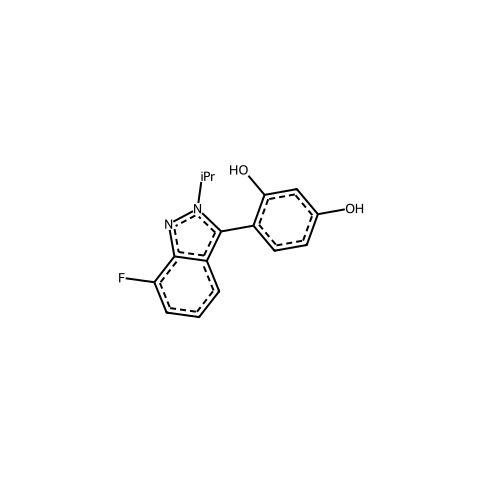 CC(C)n1nc2c(F)cccc2c1-c1ccc(O)cc1O